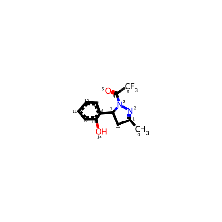 CC1=NN(C(=O)C(F)(F)F)C(c2ccccc2O)C1